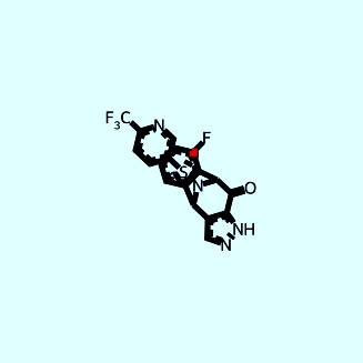 O=C1c2[nH]ncc2C2c3cccc(F)c3C1N2S(=O)(=O)c1ccc(C(F)(F)F)nc1